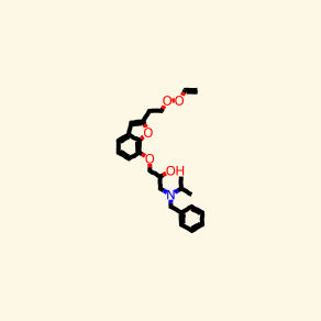 C=COOCCc1cc2cccc(OCC(O)CN(Cc3ccccc3)C(C)C)c2o1